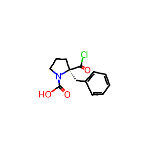 O=C(O)N1CCC[C@@]1(Cc1ccccc1)C(=O)Cl